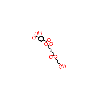 O=C(CCCCC(=O)OC(=O)c1ccc(C(=O)O)cc1)OCCCCO